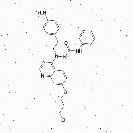 Nc1ccc(CCN(NC(=O)Nc2ccccc2)c2ncnc3cc(OCCCCl)ccc23)cc1